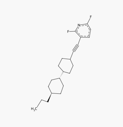 CCC[C@H]1CC[C@H](C2CCC(C#Cc3ccc(F)nc3F)CC2)CC1